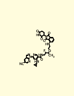 CC(OCCNc1cccc2c1C(=O)N(C1CCC(=O)NC1=O)C2=O)C(F)CNC(=O)c1cnc(-n2ncc3cc(C#N)cnc32)cc1NC1CC1